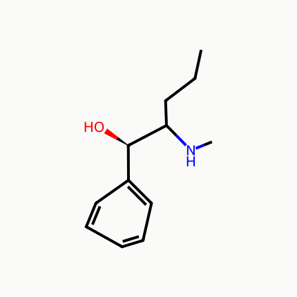 CCCC(NC)[C@H](O)c1ccccc1